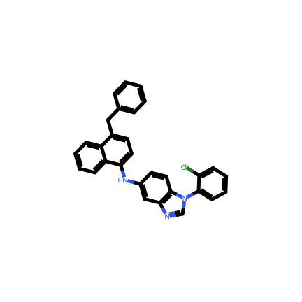 Clc1ccccc1-n1cnc2cc(Nc3ccc(Cc4ccccc4)c4ccccc34)ccc21